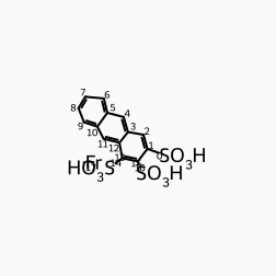 O=S(=O)(O)c1cc2cc3ccccc3cc2c(S(=O)(=O)O)c1S(=O)(=O)O.[Fr]